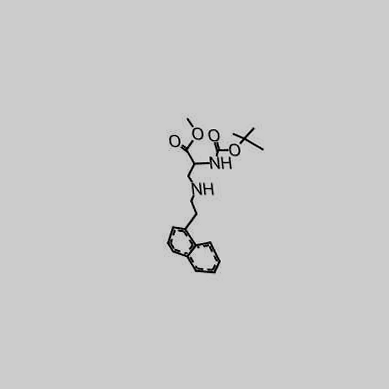 COC(=O)C(CNCCc1cccc2ccccc12)NC(=O)OC(C)(C)C